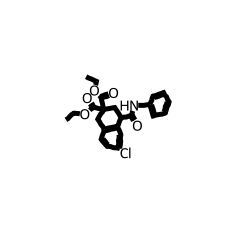 CCOC(=O)C1(C(=O)OCC)Cc2ccc(Cl)cc2C(C(=O)Nc2ccccc2)C1